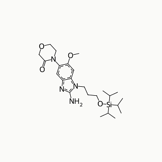 COc1cc2c(cc1N1CCOCC1=O)nc(N)n2CCCO[Si](C(C)C)(C(C)C)C(C)C